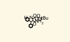 CC(C)(C)OC(=O)OC(=O)[C@@H](N)C(C(N)=O)C(c1ccccc1)c1ccccc1